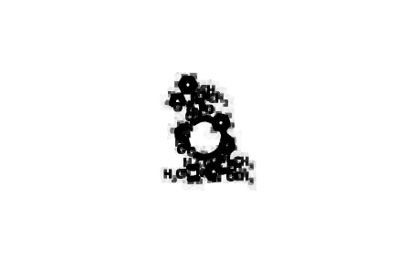 CCn1c(-c2cc(N3CCN(C)CC3)cnc2[C@H](C)OC)c2c3cc(ccc31)-c1cccc(c1)C[C@H](NC(=O)[C@H](C(C)C)N(C)C(=O)[C@@H]1OCC[C@@H]1c1ccccc1)C(=O)N1CCC[C@H](N1)C(=O)OCC(C)(C)C2